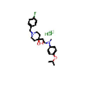 CC(C)Oc1ccc(N(C)CCC2(O)CCN(Cc3ccc(F)cc3)CC2)cc1.Cl.Cl